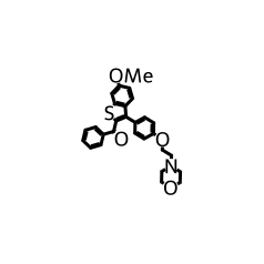 COc1ccc2c(-c3ccc(OCCN4CCOCC4)cc3)c(C(=O)c3ccccc3)sc2c1